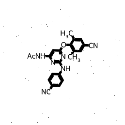 CC(=O)Nc1cc(Oc2c(C)cc(C#N)cc2C)nc(Nc2ccc(C#N)cc2)n1